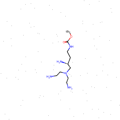 CC(C)(C)OC(=O)NCC[C@H](N)CN(CCN)CCN